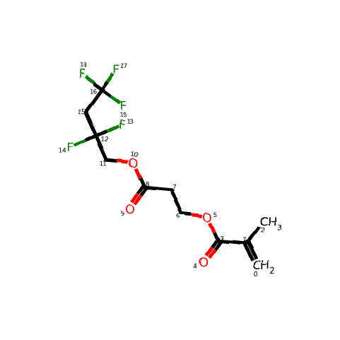 C=C(C)C(=O)OCCC(=O)OCC(F)(F)CC(F)(F)F